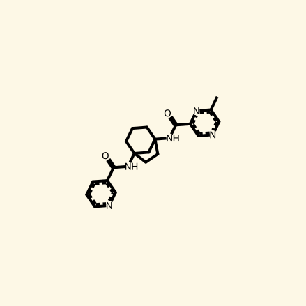 Cc1cncc(C(=O)NC23CCCC(NC(=O)c4cccnc4)(CC2)C3)n1